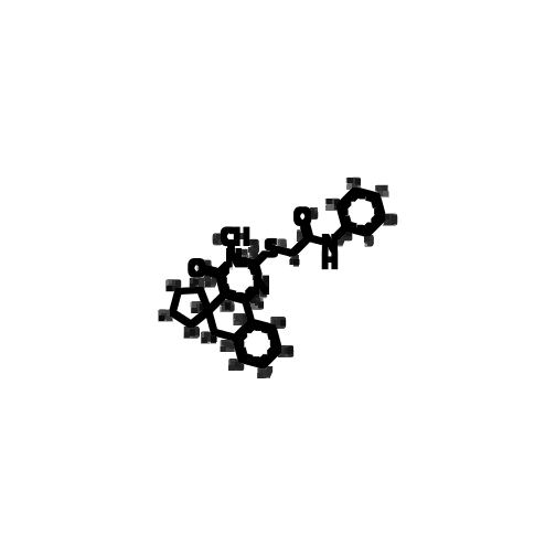 Cn1c(SCC(=O)Nc2ccccc2)nc2c(c1=O)C1(CCCC1)Cc1ccccc1-2